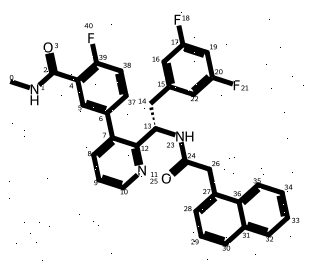 CNC(=O)c1cc(-c2cccnc2[C@H](Cc2cc(F)cc(F)c2)NC(=O)Cc2cccc3ccccc23)ccc1F